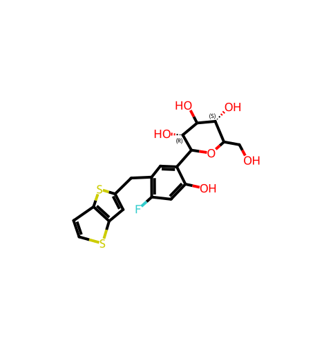 OCC1OC(c2cc(Cc3cc4sccc4s3)c(F)cc2O)[C@H](O)C(O)[C@@H]1O